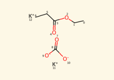 CCOC(=O)CC.O=C([O-])[O-].[K+].[K+]